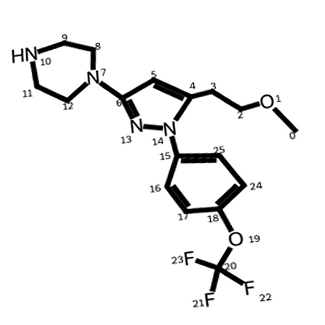 COCCc1cc(N2CCNCC2)nn1-c1ccc(OC(F)(F)F)cc1